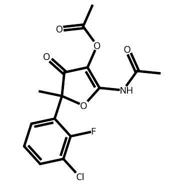 CC(=O)NC1=C(OC(C)=O)C(=O)C(C)(c2cccc(Cl)c2F)O1